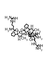 CC(NC(=O)C1CCCN1C(=O)C(N)CCCNC(=N)N)C(=O)NC(CCCNC(=N)N)C(=O)N1CCCC1C(=O)NC(C)C(=O)NC(CCCNC(=N)N)C(=O)O